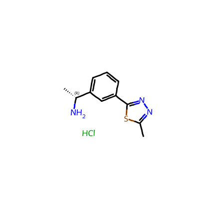 Cc1nnc(-c2cccc([C@@H](C)N)c2)s1.Cl